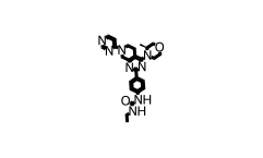 CCNC(=O)Nc1ccc(-c2nc3c(c(N4CCOC[C@@H]4C)n2)CCN(c2ccncn2)C3)cc1